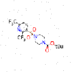 CC(C)(C)OC(=O)N1CCN(S(=O)(=O)c2ccc(C(F)(F)F)nc2C(F)(F)F)CC1